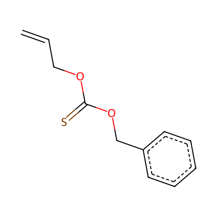 C=CCOC(=S)OCc1ccccc1